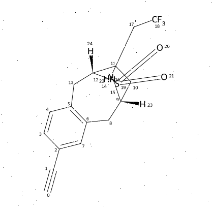 C#Cc1ccc2c(c1)C[C@H]1CC[C@@H](C2)[C@]12CN(CC(F)(F)F)S(=O)(=O)N2